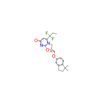 CCC(F)(F)c1cc(=O)nc2n1C[C@@H](COc1ccc3c(c1)CCC3(C)C)O2